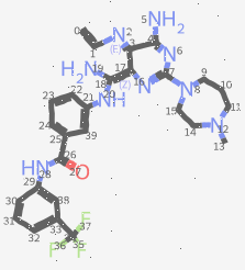 C=C/N=C1/C(N)=NC(N2CCCN(C)CC2)=N/C1=C(/N)Nc1cccc(C(=O)Nc2cccc(C(F)(F)F)c2)c1